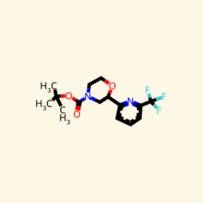 CC(C)(C)OC(=O)N1CCOC(c2cccc(C(F)(F)F)n2)C1